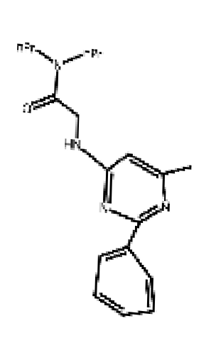 CCCN(CCC)C(=O)CNc1cc(C)nc(-c2ccccc2)n1